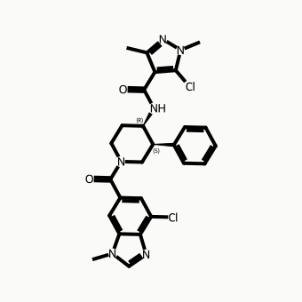 Cc1nn(C)c(Cl)c1C(=O)N[C@@H]1CCN(C(=O)c2cc(Cl)c3ncn(C)c3c2)C[C@@H]1c1ccccc1